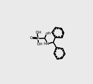 CCCC(NC(c1ccccc1)c1ccccc1)P(=O)(O)O